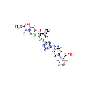 CC(O)C(=O)N1CC[C@H](Oc2ccc(-c3ncnc(Nc4ccc(N5CCOC[C@@H]5CO)cc4)n3)cc2C#N)[C@H](F)C1